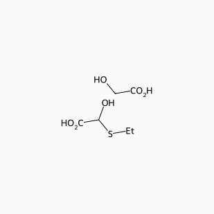 CCSC(O)C(=O)O.O=C(O)CO